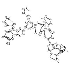 CC1(C)c2ccccc2-c2ccc(-c3ccc4c5ccccc5c5cc(-c6nc(-c7ccccc7)nc(-c7ccc8c9ccccc9n(-c9ccccc9)c8c7)n6)ccc5c4c3)cc21